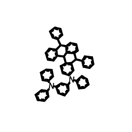 c1ccc(C2c3ccccc3C3c4ccc(N(c5ccccc5)c5cccc(N(c6ccccc6)c6ccccc6)c5)cc4C(c4ccccc4)c4cccc2c43)cc1